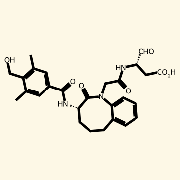 Cc1cc(C(=O)N[C@H]2CCCc3ccccc3N(CC(=O)N[C@H](C=O)CC(=O)O)C2=O)cc(C)c1CO